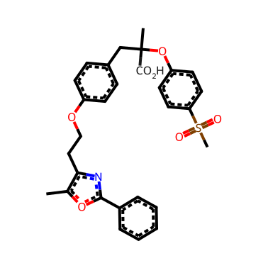 Cc1oc(-c2ccccc2)nc1CCOc1ccc(CC(C)(Oc2ccc(S(C)(=O)=O)cc2)C(=O)O)cc1